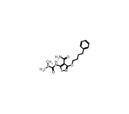 CN(C)C(=O)Nc1snc(OCCCCc2ccccc2)c1C(N)=O